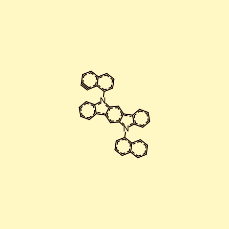 c1ccc2cccc(-n3c4ccccc4c4cc5c(cc43)c3ccccc3n5-c3cccc4ccccc34)c2c#1